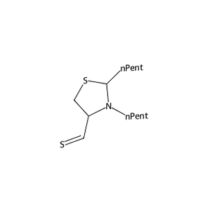 CCCCCC1SCC(C=S)N1CCCCC